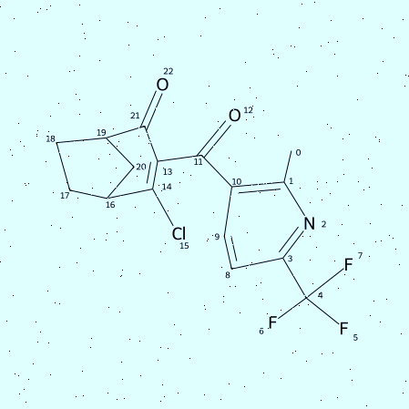 Cc1nc(C(F)(F)F)ccc1C(=O)C1=C(Cl)C2CCC(C2)C1=O